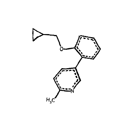 Cc1ccc(-c2ccc[c]c2OCC2CC2)cn1